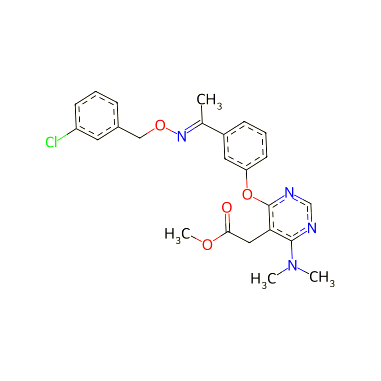 COC(=O)Cc1c(Oc2cccc(C(C)=NOCc3cccc(Cl)c3)c2)ncnc1N(C)C